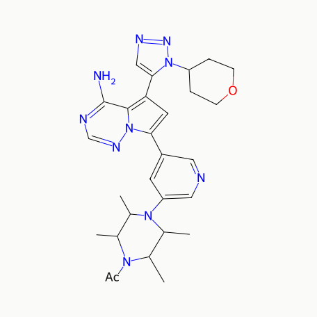 CC(=O)N1C(C)C(C)N(c2cncc(-c3cc(-c4cnnn4C4CCOCC4)c4c(N)ncnn34)c2)C(C)C1C